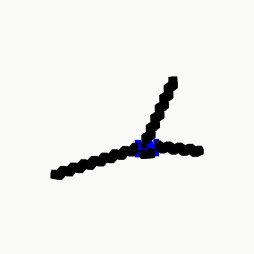 CCCCCCCCCCCCCCCCCN1C=CN(CCCCCCCCC)C1CCCCCCCCCCCCC